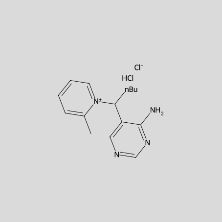 CCCCC(c1cncnc1N)[n+]1ccccc1C.Cl.[Cl-]